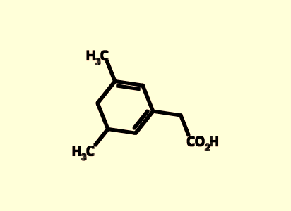 CC1=CC(CC(=O)O)=CC(C)C1